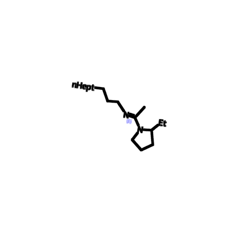 CCCCCCCCCC/N=C(\C)N1CCCC1CC